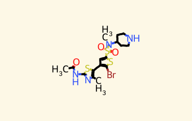 CC(=O)Nc1nc(C)c(-c2cc(S(=O)(=O)N(C)C3CCNCC3)sc2Br)s1